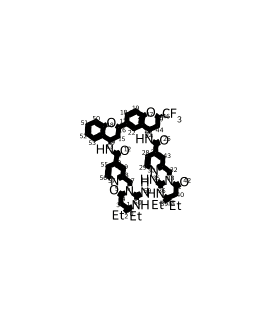 CCC1(CC)CC(=O)N(Cc2cc(C(=O)N[C@H]3CC(c4ccc5c(c4)[C@@H](NC(=O)c4ccnc(CN6C(=N)NC(CC)(CC)CC6=O)c4)C[C@H](C(F)(F)F)O5)Oc4ccccc43)ccn2)C(=N)N1